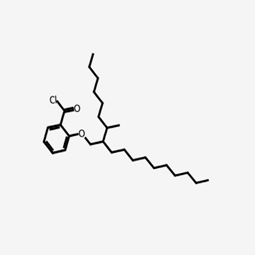 CCCCCCCCCCC(COc1ccccc1C(=O)Cl)C(C)CCCCCC